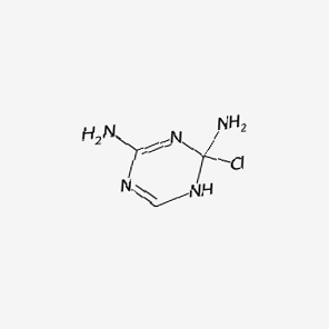 NC1=NC(N)(Cl)NC=N1